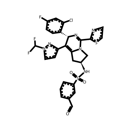 O=Cc1cccc(S(=O)(=O)N[C@H]2CC3=C(c4ccn(C(F)F)n4)[C@H](c4ccc(F)cc4Cl)N=C(c4nccs4)N3C2)c1